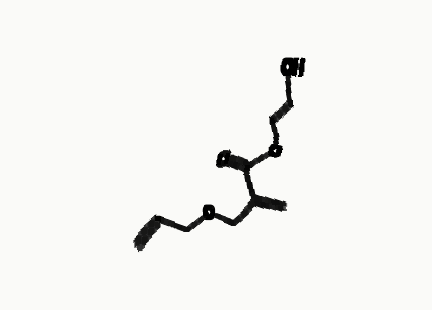 C=CCOCC(=C)C(=O)OCCO